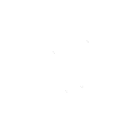 N#CCCC(CC#N)c1ncc[nH]1